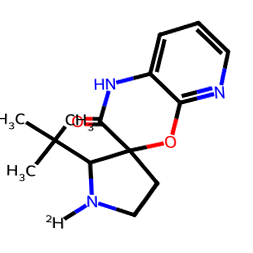 [2H]N1CCC2(Oc3ncccc3NC2=O)C1C(C)(C)C